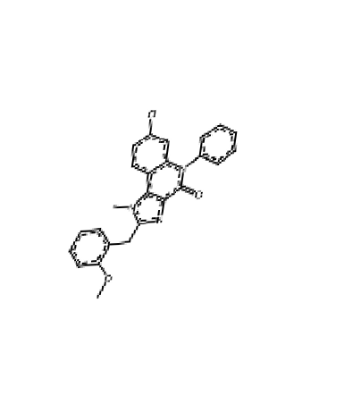 COc1ccccc1Cc1nc2c(=O)n(-c3ccccc3)c3cc(Cl)ccc3c2n1C